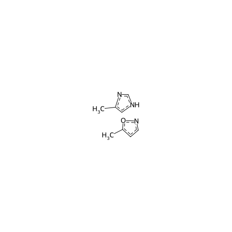 Cc1c[nH]cn1.Cc1ccno1